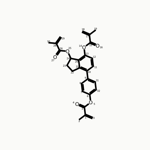 C=C(C)C(=O)Oc1ccc(-c2ccc(OC(=O)C(=C)C)c3c2CCC3OC(=O)C(=C)C)cc1